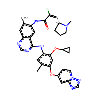 COc1cc2ncnc(Nc3cc(C)c(Oc4ccn5ncnc5c4)cc3OC3CC3)c2cc1NC(=O)/C(F)=C\[C@H]1CCCN1C